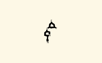 N#Cc1ccc(Sc2cc(F)cc(F)c2)cn1